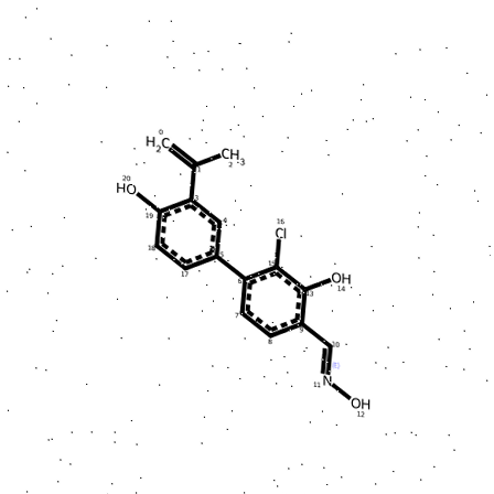 C=C(C)c1cc(-c2ccc(/C=N/O)c(O)c2Cl)ccc1O